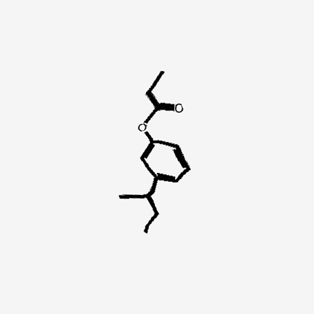 CCC(=O)Oc1cccc(C(C)CC)c1